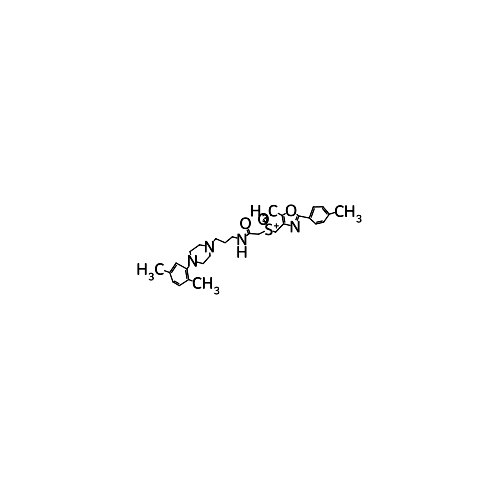 Cc1ccc(-c2nc(C[S+]([O-])CC(=O)NCCCN3CCN(c4cc(C)ccc4C)CC3)c(C)o2)cc1